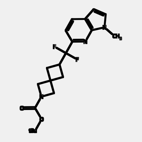 Cn1ccc2ccc(C(F)(F)C3CC4(C3)CN(C(=O)OC(C)(C)C)C4)nc21